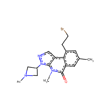 CC(=O)N1CC(n2ncc3c4c(CCBr)cc(C)cc4c(=O)n(C)c32)C1